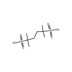 CC(C)(CCC(C)(C)S(=O)(=O)O)S(=O)(=O)O